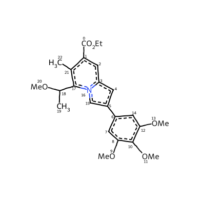 CCOC(=O)c1cc2cc(-c3cc(OC)c(OC)c(OC)c3)cn2c(C(C)OC)c1C